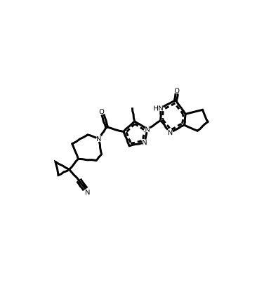 Cc1c(C(=O)N2CCC(C3(C#N)CC3)CC2)cnn1-c1nc2c(c(=O)[nH]1)CCC2